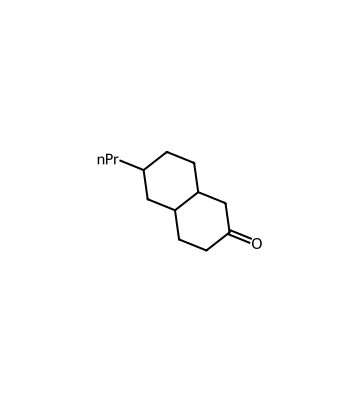 CCCC1CCC2CC(=O)CCC2C1